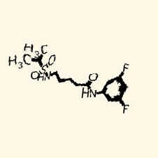 CC(C)S(=O)(=O)NCCCCC(=O)Nc1cc(F)cc(F)c1